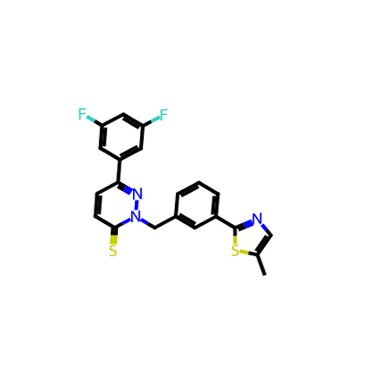 Cc1cnc(-c2cccc(Cn3nc(-c4cc(F)cc(F)c4)ccc3=S)c2)s1